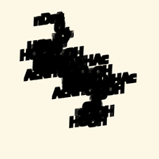 CCCCCCCCCCCOc1cccc(C(=O)N[C@H]2C(O)[C@H](O)C(CO)O[C@H]2O[C@H]2C(O)C(NC(C)=O)C(OC3C(CO)O[C@@H](O[C@H]4C(O)C(NC(C)=O)C(OC5C(CO[C@@H]6OC(C)C(O)[C@H](O)[C@H]6O)OC(O)[C@@H](NC(C)=O)[C@H]5O)O[C@H]4CO)[C@@H](NC(C)=O)[C@H]3O)O[C@H]2CO)c1